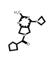 Cc1nc2c(c(N3CCC3)n1)CN(C(=O)C1CCCC1)C2